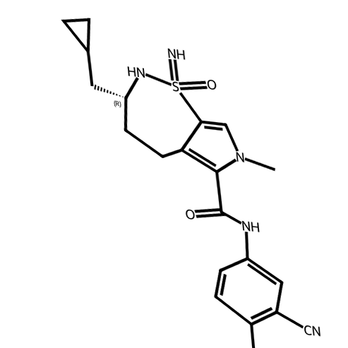 Cn1cc2c(c1C(=O)Nc1ccc(F)c(C#N)c1)CC[C@H](CC1CC1)NS2(=N)=O